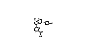 Fc1ccc(-c2cnc3[nH]cc(-c4ccnc(NC5CC5)n4)c3c2)cc1